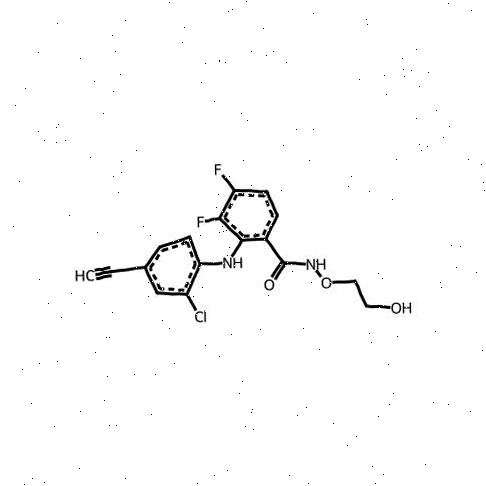 C#Cc1ccc(Nc2c(C(=O)NOCCO)ccc(F)c2F)c(Cl)c1